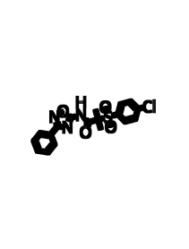 CC(C)(C(=O)Nc1nc(-c2ccccc2)no1)S(=O)(=O)c1ccc(Cl)cc1